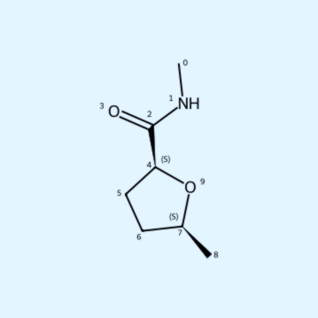 CNC(=O)[C@@H]1CC[C@H](C)O1